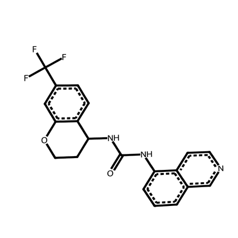 O=C(Nc1cccc2cnccc12)NC1CCOc2cc(C(F)(F)F)ccc21